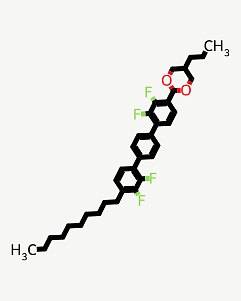 CCCCCCCCCCc1ccc(-c2ccc(-c3ccc(C4OCC(CCC)CO4)c(F)c3F)cc2)c(F)c1F